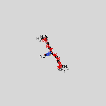 C=CC(=O)CC(COC(=O)C=C)COc1ccc(OC(=O)C2CCC(C(=O)Oc3ccc(CCOC(=O)C4CCC(C(=O)Oc5ccc(OCC(COC(=O)C=C)OC(=O)C=C)cc5)CC4)c4sc(/N=N/c5ccc(C#N)cc5)nc34)CC2)cc1